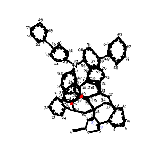 C=C/C=C1\C(=C/C)c2ccccc2C2CC13CC1CC4(CCCC(c5ccccc5-c5ccccc5C)(C2)C34)c2cc(N(c3ccc(-c4ccccc4)cc3)c3ccc(-c4ccccc4)cc3)ccc2-c2ccccc21